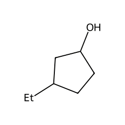 CCC1CCC(O)C1